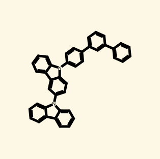 c1ccc(-c2cccc(-c3ccc(-n4c5ccccc5c5cc(-n6c7ccccc7c7ccccc76)ccc54)cc3)c2)cc1